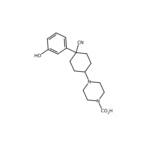 N#CC1(c2cccc(O)c2)CCC(N2CCN(C(=O)O)CC2)CC1